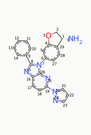 N[C@H]1COc2cc(-n3c(-c4ccccc4)nc4ccc(-n5cccn5)nc43)ccc21